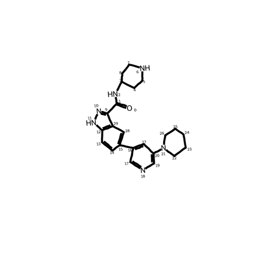 O=C(NC1CCNCC1)c1n[nH]c2ccc(-c3cncc(N4CCCCC4)c3)cc12